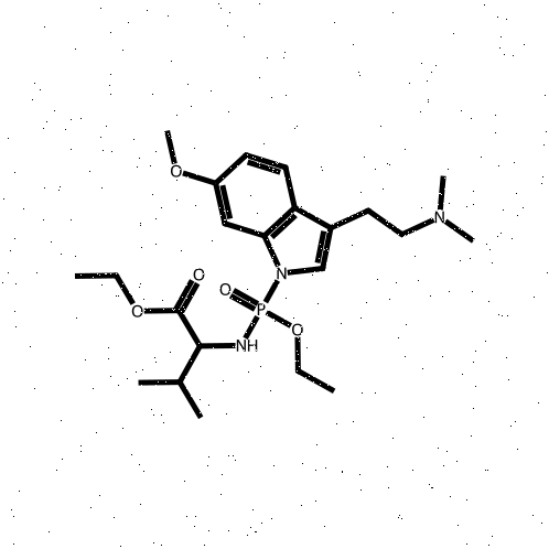 CCOC(=O)C(NP(=O)(OCC)n1cc(CCN(C)C)c2ccc(OC)cc21)C(C)C